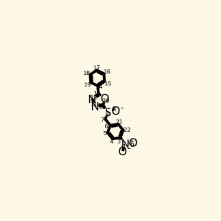 O=[N+]([O-])c1ccc(C[S+]([O-])c2nnc(-c3ccccc3)o2)cc1